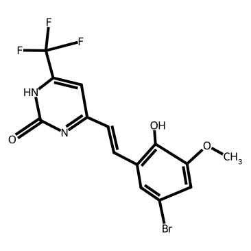 COc1cc(Br)cc(C=Cc2cc(C(F)(F)F)[nH]c(=O)n2)c1O